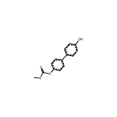 COC(=O)Oc1ccc(-c2ccc(O)cc2)cc1